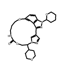 O=C1NCCCOc2ccc3c(c2)c(nn3C2CCCCO2)-c2cnn(c2)C(C2CCOCC2)CO1